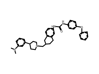 CN(C)c1cccc(C2CCN(CC3CCc4cc(NC(=O)Nc5ccc(Oc6ccccc6)cc5)ccc4C3)CC2)c1